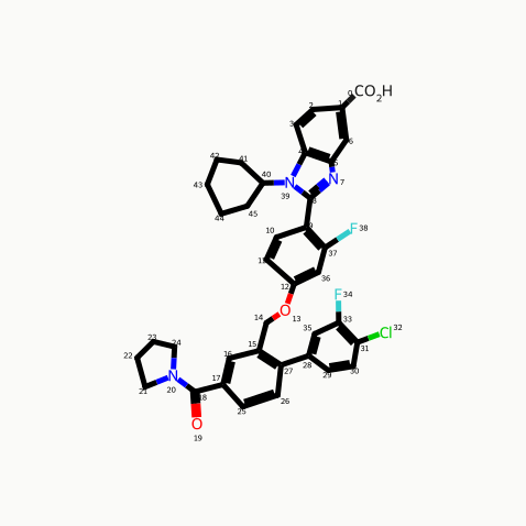 O=C(O)c1ccc2c(c1)nc(-c1ccc(OCc3cc(C(=O)N4CCCC4)ccc3-c3ccc(Cl)c(F)c3)cc1F)n2C1CCCCC1